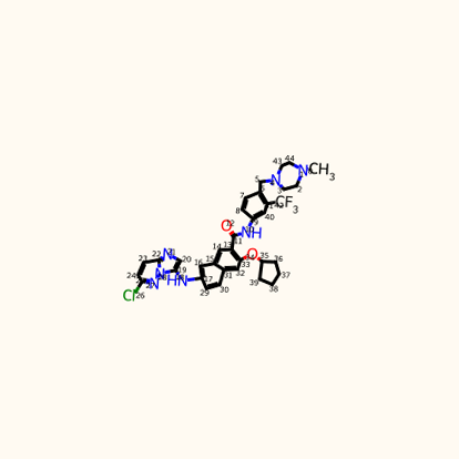 CN1CCN(Cc2ccc(NC(=O)c3cc4cc(Nc5cnc6ccc(Cl)nn56)ccc4cc3OC3CCCC3)cc2C(F)(F)F)CC1